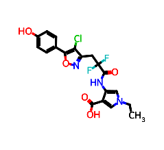 CCn1cc(NC(=O)C(F)(F)Cc2noc(-c3ccc(O)cc3)c2Cl)c(C(=O)O)c1